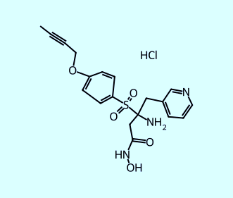 CC#CCOc1ccc(S(=O)(=O)C(N)(CC(=O)NO)Cc2cccnc2)cc1.Cl